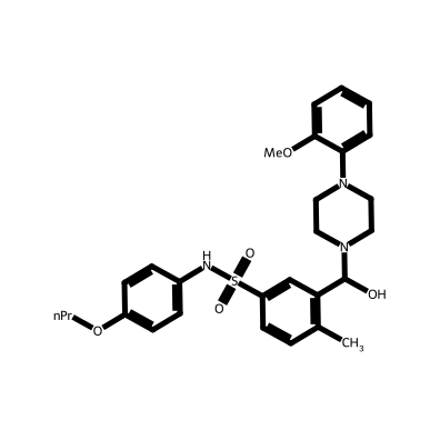 CCCOc1ccc(NS(=O)(=O)c2ccc(C)c(C(O)N3CCN(c4ccccc4OC)CC3)c2)cc1